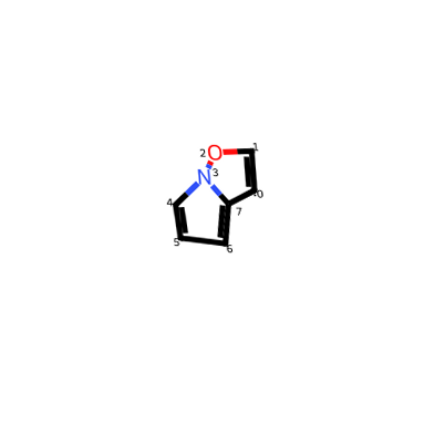 [c]1con2cccc12